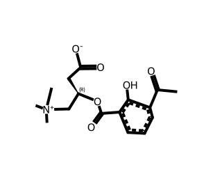 CC(=O)c1cccc(C(=O)O[C@H](CC(=O)[O-])C[N+](C)(C)C)c1O